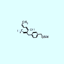 C\C=C/C=C(O)\C(=C/C)Cc1ccc(COC)cc1